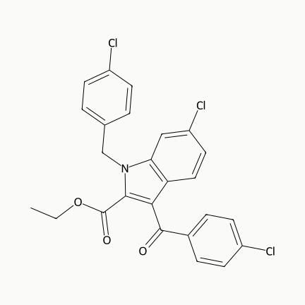 CCOC(=O)c1c(C(=O)c2ccc(Cl)cc2)c2ccc(Cl)cc2n1Cc1ccc(Cl)cc1